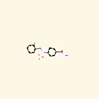 CCNC(=O)c1ccc(N(Cc2ccccc2Cl)S(C)(=O)=O)cc1